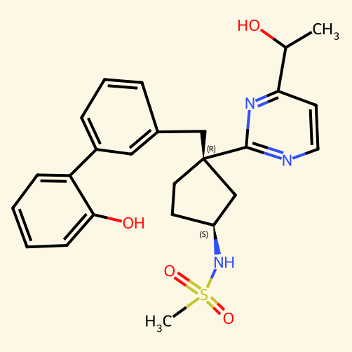 CC(O)c1ccnc([C@@]2(Cc3cccc(-c4ccccc4O)c3)CC[C@H](NS(C)(=O)=O)C2)n1